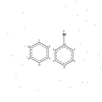 Brc1c[c]ccc1.[c]1ccccc1